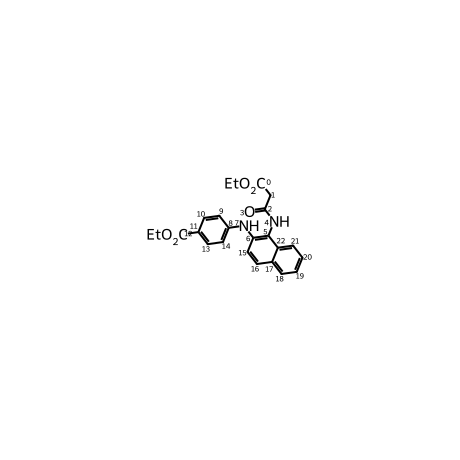 CCOC(=O)CC(=O)Nc1c(Nc2ccc(C(=O)OCC)cc2)ccc2ccccc12